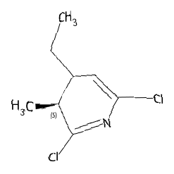 CCC1C=C(Cl)N=C(Cl)[C@H]1C